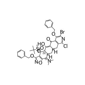 CN(C)[C@@H]1c2onc(OCc3ccccc3)c2C(=O)[C@@]2(O[Si](C)(C)C(C)(C)C)C(O)=C3C(=O)c4c(c(Cl)nc(Br)c4OCc4ccccc4)C[C@H]3C[C@@H]12